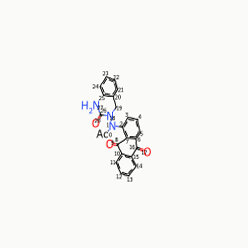 CC(=O)N(c1cccc2c1C(=O)c1ccccc1C2=O)N(Cc1ccccc1)C(N)=O